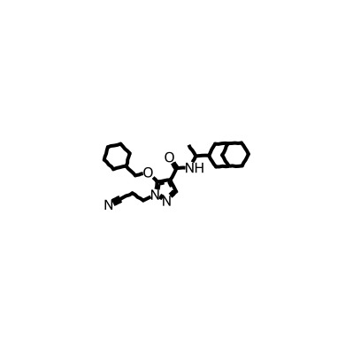 CC(NC(=O)c1cnn(CCC#N)c1OCC1CCCCC1)C1CC2CCCC(C2)C1